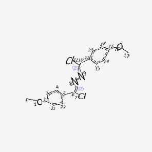 COc1ccc(/C(Cl)=N/N=C(\Cl)c2ccc(OC)cc2)cc1